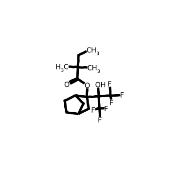 CCC(C)(C)C(=O)OC1(C(O)(C(F)(F)F)C(F)(F)F)CC2CCC1C2